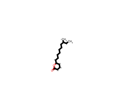 CCC(C)CCCCCCCC1CCCC(=O)O1